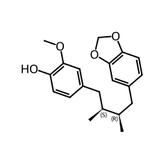 COc1cc(C[C@H](C)[C@H](C)Cc2ccc3c(c2)OCO3)ccc1O